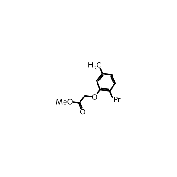 COC(=O)COc1cc(C)ccc1C(C)C